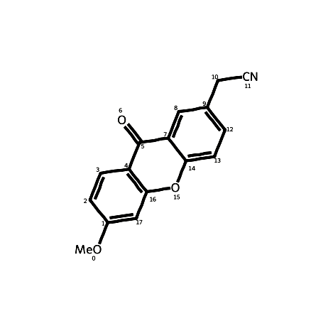 COc1ccc2c(=O)c3cc(CC#N)ccc3oc2c1